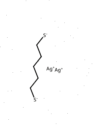 [Ag+].[Ag+].[S-]CCCCC[S-]